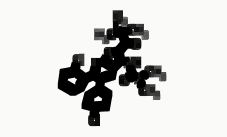 CN(C)C(=O)Nc1c(C(=O)C(C)(C)C)oc2nc(-c3ccccc3Cl)c(-c3ccc(Cl)cc3)cc12